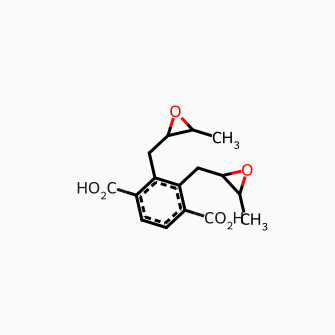 CC1OC1Cc1c(C(=O)O)ccc(C(=O)O)c1CC1OC1C